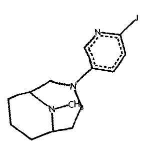 CN1C2CCCC1CN(c1ccc(I)nc1)CC2